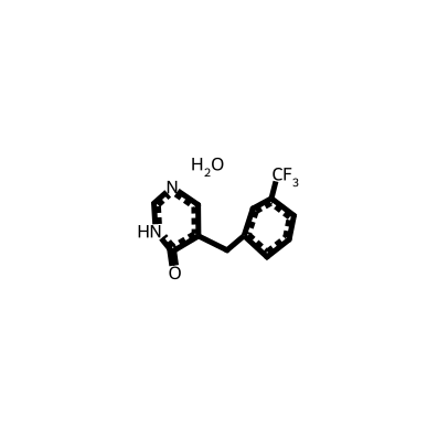 O.O=c1[nH]cncc1Cc1cccc(C(F)(F)F)c1